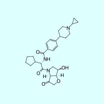 O=C(N[C@H](C(=O)N1C[C@@H](O)[C@H]2OCC(=O)[C@H]21)C1CCCC1)c1ccc(C2CCN(C3CC3)CC2)cc1